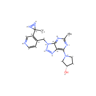 CC(C)(C)c1nc(N2CC[C@H](O)C2)c2nnn(Cc3ccncc3C3(C(F)(F)F)N=N3)c2n1